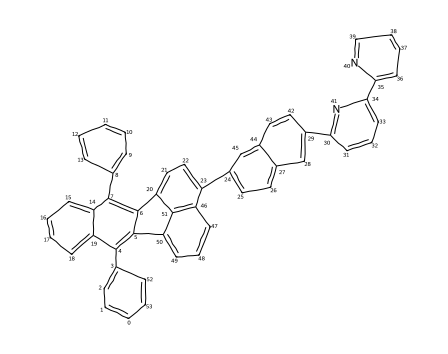 c1ccc(-c2c3c(c(-c4ccccc4)c4ccccc24)-c2ccc(-c4ccc5cc(-c6cccc(-c7ccccn7)n6)ccc5c4)c4cccc-3c24)cc1